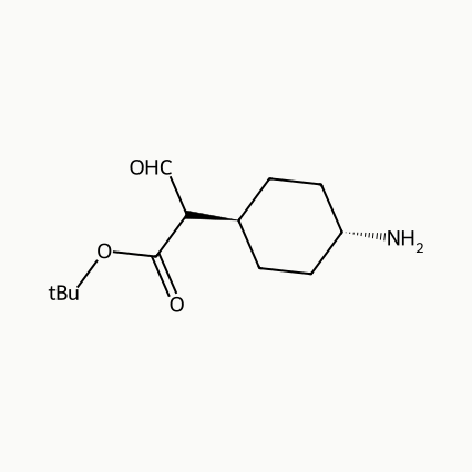 CC(C)(C)OC(=O)C(C=O)[C@H]1CC[C@H](N)CC1